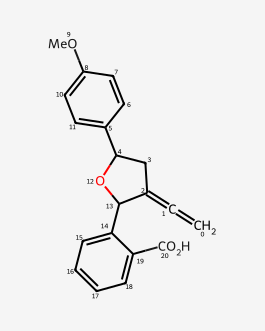 C=C=C1CC(c2ccc(OC)cc2)OC1c1ccccc1C(=O)O